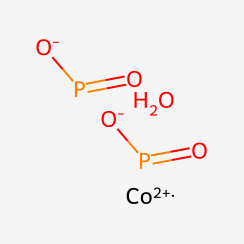 O.O=P[O-].O=P[O-].[Co+2]